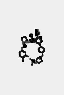 Cc1ccc(CO[C@H]2CCC[C@@H]2NC(=O)c2cc(-c3ccc(CN4CC[C@H](N(C)C)C4)cc3)cnc2N)cc1C